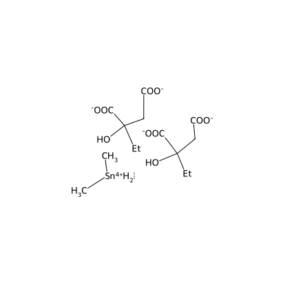 CCC(O)(CC(=O)[O-])C(=O)[O-].CCC(O)(CC(=O)[O-])C(=O)[O-].[CH3][SnH2+4][CH3]